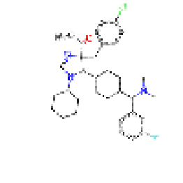 COC(=O)C1(Cc2ccc(Cl)cc2)N=CN(C2CCCCC2)C1C1CCC(C(c2cccc(F)c2)N(C)C)CC1